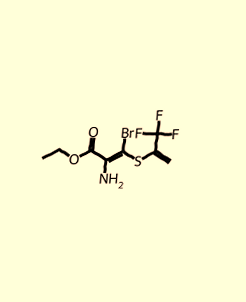 C=C(S/C(Br)=C(\N)C(=O)OCC)C(F)(F)F